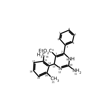 CCOC(=O)C1=C(c2ccccc2)NC(N)=NC1c1c(C)cccc1C